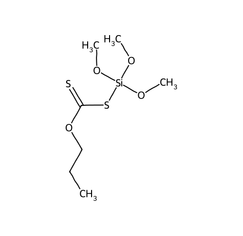 CCCOC(=S)S[Si](OC)(OC)OC